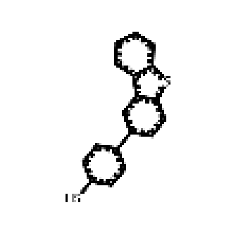 Sc1ccc(-c2ccc3sc4ccccc4c3c2)cc1